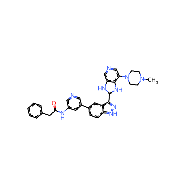 CN1CCN(c2cncc3c2NC(c2n[nH]c4ccc(-c5cncc(NC(=O)Cc6ccccc6)c5)cc24)N3)CC1